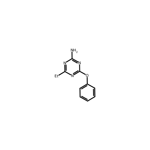 CCc1nc(N)nc(Oc2ccccc2)n1